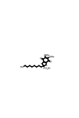 CCOC(=O)C1(CCCCCCCCO)CC2=C(C1)C(=O)C(OC)=C(OC)C2=O